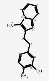 Cc1c(CCc2ccc(N)c(O)c2)nc2ccccn12